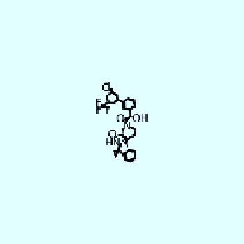 O=C([C@H](O)c1cccc(-c2cc(Cl)cc(C(F)(F)F)c2)c1)N1CCCc2nc(C3(c4ccccc4)CC3)[nH]c(=O)c2C1